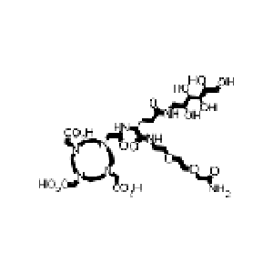 NC(=O)COCCOCCNC(=O)[C@@H](CCC(=O)NC[C@H](O)[C@@H](O)[C@H](O)[C@H](O)CO)NC(=O)CN1CCN(CC(=O)O)CCN(CC(=O)O)CCN(CC(=O)O)CC1